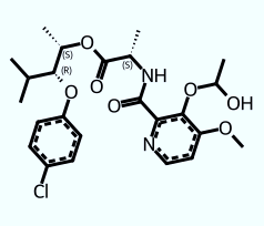 COc1ccnc(C(=O)N[C@@H](C)C(=O)O[C@@H](C)[C@H](Oc2ccc(Cl)cc2)C(C)C)c1OC(C)O